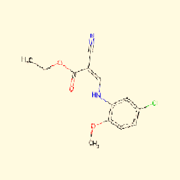 CCOC(=O)C(C#N)=CNc1cc(Cl)ccc1OC